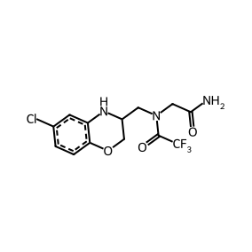 NC(=O)CN(CC1COc2ccc(Cl)cc2N1)C(=O)C(F)(F)F